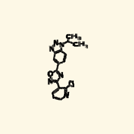 CC(C)n1nnc2cc(-c3nc(-c4cccnc4Cl)no3)ccc21